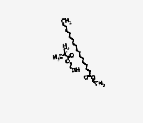 C=C(C)C(=O)OCCO.C=COC(=O)CCCCCCCCCCCCCCCCC